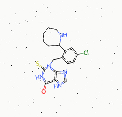 O=c1[nH]c(=S)n(Cc2ccc(Cl)cc2C2CCCCCN2)c2nc[nH]c12